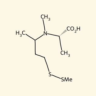 CSSCCC(C)N(C)[C@@H](C)C(=O)O